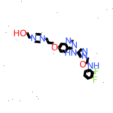 O=C(Cn1cc(Nc2ncnc3cc(OCCCN4CCN(CCO)CC4)ccc23)cn1)Nc1cccc(F)c1F